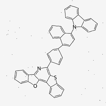 c1ccc2c(c1)oc1c2nc(-c2ccc(-c3ccc(-n4c5ccccc5c5ccccc54)c4ccccc34)cc2)c2sc3ccccc3c21